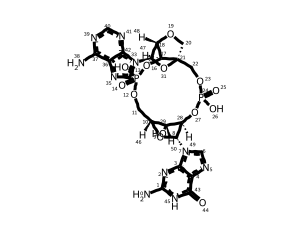 Nc1nc2c(ncn2[C@@H]2O[C@@H]3COP(=O)(O)O[C@H]4[C@H]5OC[C@]4(COP(=O)(O)O[C@@H]2[C@@H]3O)O[C@H]5n2cnc3c(N)ncnc32)c(=O)[nH]1